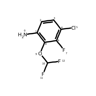 Nc1ccc(Cl)c(F)c1OC(F)F